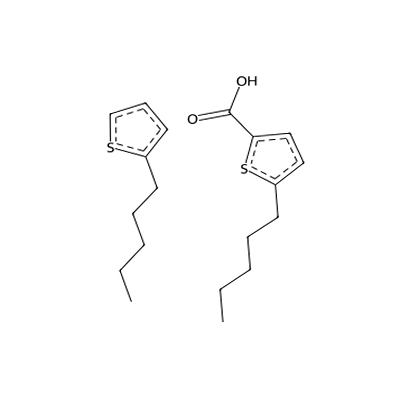 CCCCCc1ccc(C(=O)O)s1.CCCCCc1cccs1